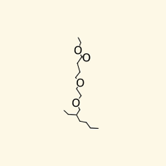 CCCCC(CC)COCCOCCCC(=O)OCC